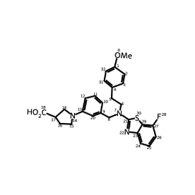 COc1ccc(CCN(Cc2cccc(N3CCC(C(=O)O)C3)c2)c2nc3cccc(F)c3s2)cc1